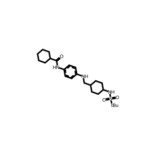 CC(C)(C)S(=O)(=O)NC1CCC(CNc2ccc(NC(=O)C3CCCCC3)cc2)CC1